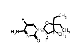 CCC1(CC)O[C@@H](n2cc(F)c(N)nc2=O)[C@@H](F)[C@@H]1C